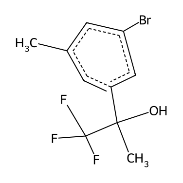 Cc1cc(Br)cc(C(C)(O)C(F)(F)F)c1